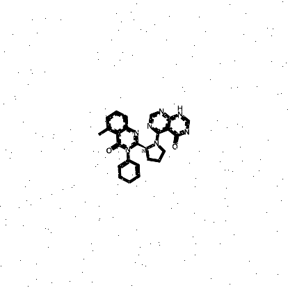 Cc1cccc2nc([C@@H]3CCCN3c3ncnc4[nH]cnc(=O)c34)n(C3=CCCC=C3)c(=O)c12